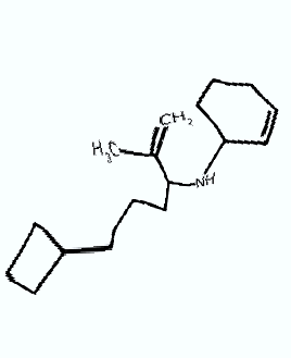 C=C(C)C(CCCC1CCC1)NC1C=CCCC1